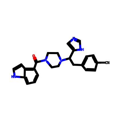 N#Cc1ccc(CC(c2cnc[nH]2)N2CCN(C(=O)c3cccc4[nH]ccc34)CC2)cc1